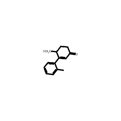 CCOC(=O)C1CCC(=O)C=C1c1ccccc1C